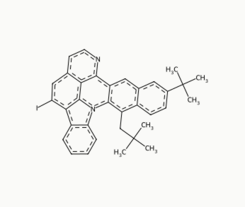 CC(C)(C)Cc1c2ccc(C(C)(C)C)cc2cc2c3nccc4cc(I)c5c6ccccc6n(c12)c5c43